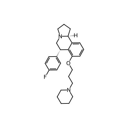 Fc1ccc([C@@H]2CN3CCC[C@H]3c3cccc(OCCCN4CCCCC4)c32)cc1